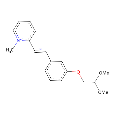 COC(COc1cccc(/C=C/c2cccc[n+]2C)c1)OC